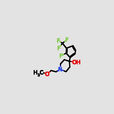 COCCN1CCC(O)(c2cccc(C(F)(F)F)c2F)CC1